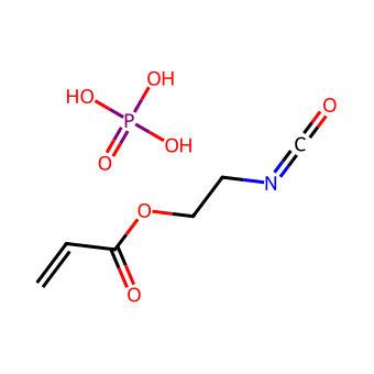 C=CC(=O)OCCN=C=O.O=P(O)(O)O